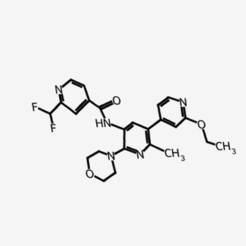 CCOc1cc(-c2cc(NC(=O)c3ccnc(C(F)F)c3)c(N3CCOCC3)nc2C)ccn1